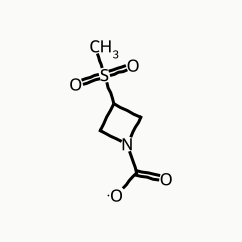 CS(=O)(=O)C1CN(C([O])=O)C1